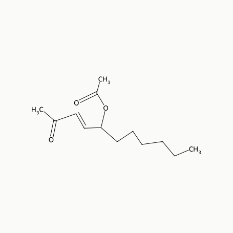 CCCCCCC(C=CC(C)=O)OC(C)=O